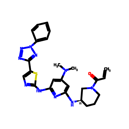 C=CC(=O)N1CCC[C@H](Nc2cc(N(C)C)cc(Nc3ncc(-c4nnn(-c5ccccc5)n4)s3)n2)C1